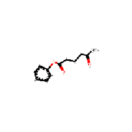 CNC(=O)CCCC(=O)Oc1ccccc1